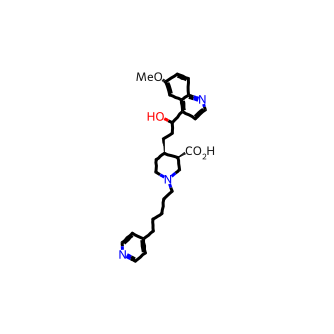 COc1ccc2nccc(C(O)CC[C@@H]3CCN(CCCCCc4ccncc4)C[C@@H]3C(=O)O)c2c1